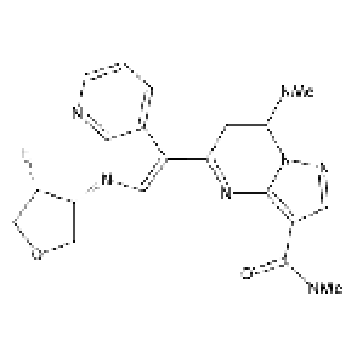 CNC(=O)c1cnn2c(NC)cc(-c3cn([C@@H]4COC[C@@H]4F)c4ncccc34)nc12